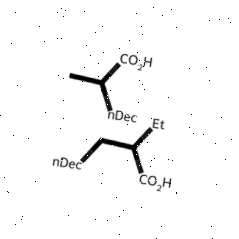 CCCCCCCCCCC(C)C(=O)O.CCCCCCCCCCCC(CC)C(=O)O